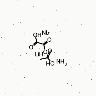 CC(=O)O.N.O=C(O)C(=O)O.[LiH].[Nb]